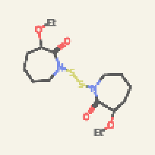 CCOC1CCCCN(SSN2CCCCC(OCC)C2=O)C1=O